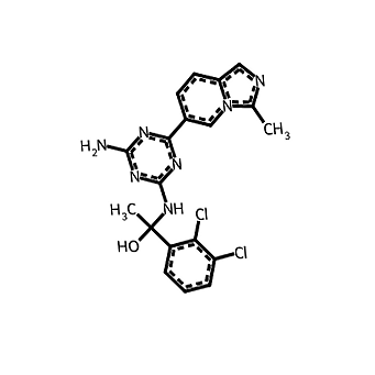 Cc1ncc2ccc(-c3nc(N)nc(NC(C)(O)c4cccc(Cl)c4Cl)n3)cn12